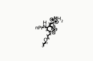 CC=COCCCC1CC(NCCC)c2cc(S(N)(=O)=O)sc2S1(=O)=O